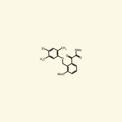 CCc1cc(C)c(OCc2c(OC)cccc2C(=O)C(=O)NC)cc1C